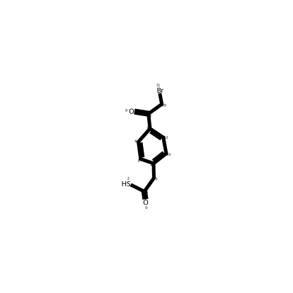 O=C(S)Cc1ccc(C(=O)CBr)cc1